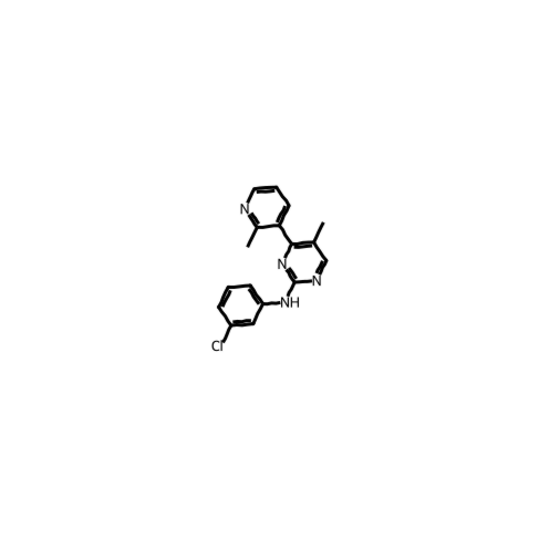 Cc1cnc(Nc2cccc(Cl)c2)nc1-c1cccnc1C